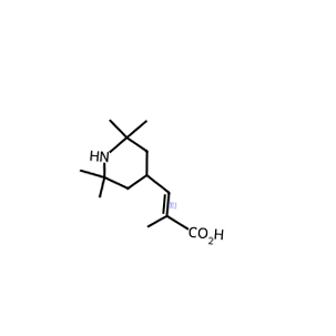 C/C(=C\C1CC(C)(C)NC(C)(C)C1)C(=O)O